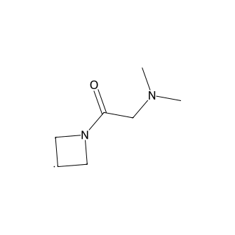 CN(C)CC(=O)N1C[CH]C1